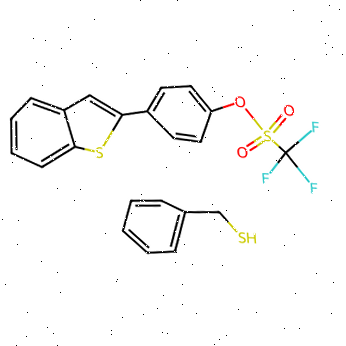 O=S(=O)(Oc1ccc(-c2cc3ccccc3s2)cc1)C(F)(F)F.SCc1ccccc1